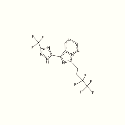 FC(F)(F)c1n[nH]c(-c2nc(CCC(F)(F)C(F)(F)F)n3ncccc23)n1